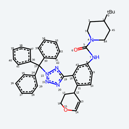 CC(C)(C)C1CCN(C(=O)Nc2ccc(C3C=COCC3)c(-c3nnn(C(c4ccccc4)(c4ccccc4)c4ccccc4)n3)c2)CC1